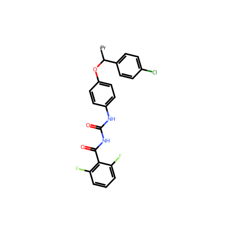 CC(C)C(Oc1ccc(NC(=O)NC(=O)c2c(F)cccc2F)cc1)c1ccc(Cl)cc1